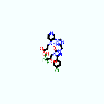 O=C(O)CCNc1ccncc1-n1cnc(Cn2nc(-c3ccc(Cl)cc3)n(CC(O)C(F)(F)F)c2=O)n1